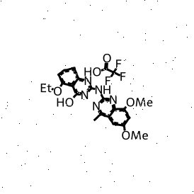 CCOc1cccc2nc(Nc3nc(C)c4cc(OC)cc(OC)c4n3)nc(O)c12.O=C(O)C(F)(F)F